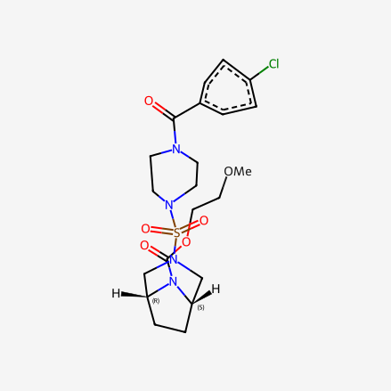 COCCOC(=O)N1[C@@H]2CC[C@H]1CN(S(=O)(=O)N1CCN(C(=O)c3ccc(Cl)cc3)CC1)C2